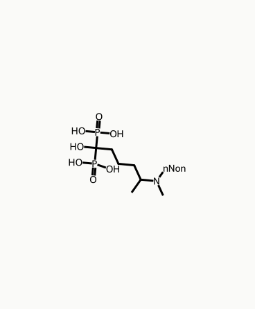 CCCCCCCCCN(C)C(C)CCCC(O)(P(=O)(O)O)P(=O)(O)O